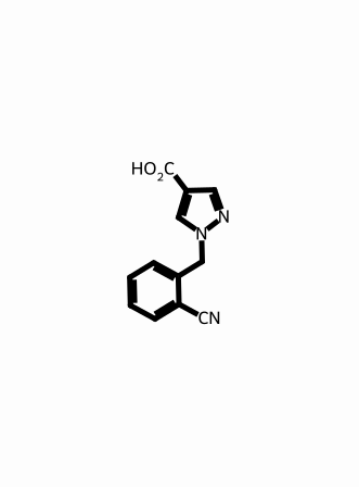 N#Cc1ccccc1Cn1cc(C(=O)O)cn1